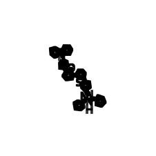 c1ccc(C2=NC(c3ccc4c(c3)sc3c(-c5cccc6c5oc5cc(-n7c8ccccc8c8ccccc87)ccc56)cccc34)=NC(c3ccccc3)N2)cc1